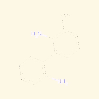 CSc1cccc(-c2ccccc2N)c1N